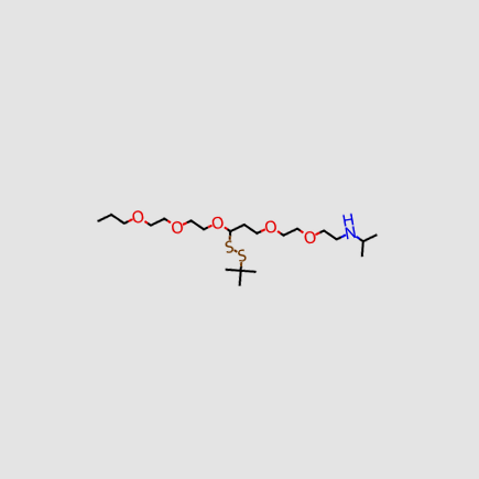 CCCOCCOCCOC(CCOCCOCCNC(C)C)SSC(C)(C)C